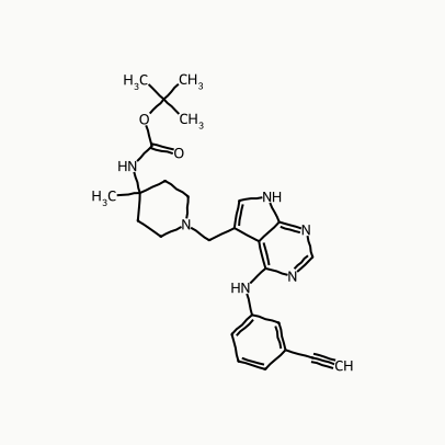 C#Cc1cccc(Nc2ncnc3[nH]cc(CN4CCC(C)(NC(=O)OC(C)(C)C)CC4)c23)c1